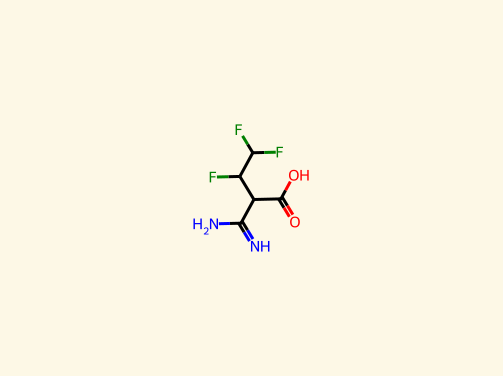 N=C(N)C(C(=O)O)C(F)C(F)F